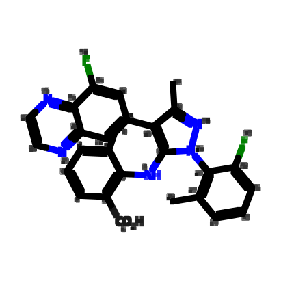 Cc1cccc(C(=O)O)c1Nc1c(-c2cc(F)c3nccnc3c2)c(C)nn1-c1c(C)cccc1F